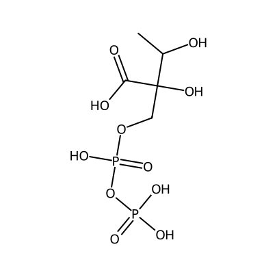 CC(O)C(O)(COP(=O)(O)OP(=O)(O)O)C(=O)O